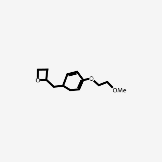 COCCOC1=CCC(CC2CCO2)C=C1